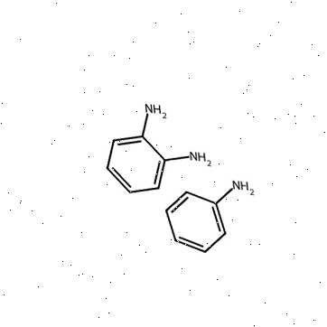 Nc1ccccc1.Nc1ccccc1N